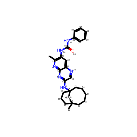 Cc1nc2nc(NC34BC(C)(CCCCC3)CCC4)cnc2cc1NC(=O)Nc1ccccc1